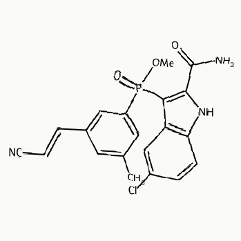 COP(=O)(c1cc(C)cc(C=CC#N)c1)c1c(C(N)=O)[nH]c2ccc(Cl)cc12